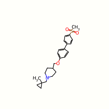 CC1(CN2CCC(COc3ccc(-c4ccc(S(C)(=O)=O)cc4)cc3)CC2)CC1